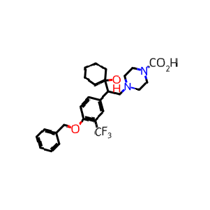 O=C(O)N1CCN(CC(c2ccc(OCc3ccccc3)c(C(F)(F)F)c2)C2(O)CCCCC2)CC1